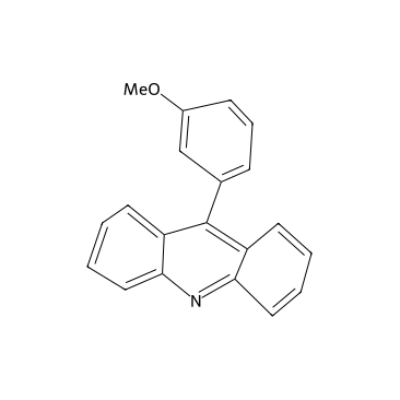 COc1cccc(-c2c3ccccc3nc3ccccc23)c1